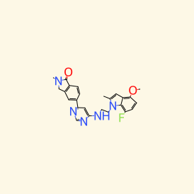 COc1ccc(F)c2c1cc(C)n2CCNc1cc(-c2ccc3c(c2)CN(C)C3=O)ncn1